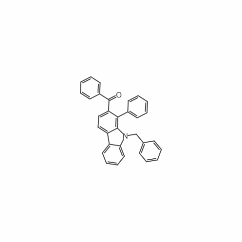 O=C(c1ccccc1)c1ccc2c3ccccc3n(Cc3ccccc3)c2c1-c1ccccc1